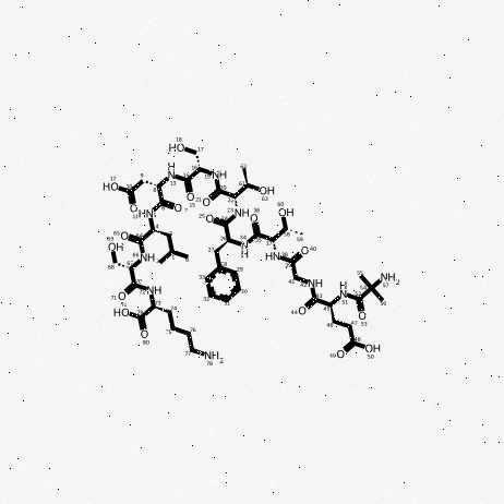 CC(C)C[C@H](NC(=O)[C@H](CC(=O)O)NC(=O)[C@H](CO)NC(=O)[C@@H](NC(=O)[C@H](Cc1ccccc1)NC(=O)[C@@H](NC(=O)CNC(=O)[C@H](CCC(=O)O)NC(=O)C(C)(C)N)[C@@H](C)O)[C@@H](C)O)C(=O)N[C@@H](CO)C(=O)N[C@@H](CCCCN)C(=O)O